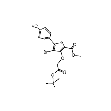 COC(=O)c1sc(-c2ccc(O)cc2)c(Br)c1OCC(=O)OC(C)(C)C